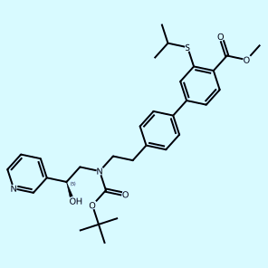 COC(=O)c1ccc(-c2ccc(CCN(C[C@@H](O)c3cccnc3)C(=O)OC(C)(C)C)cc2)cc1SC(C)C